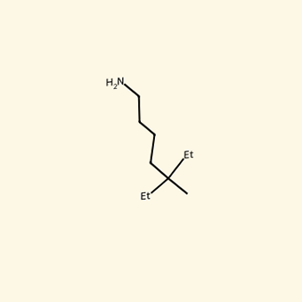 CCC(C)(CC)CCCCN